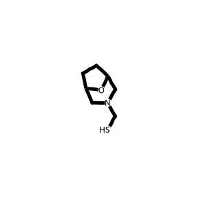 SCN1CC2CCC(C1)O2